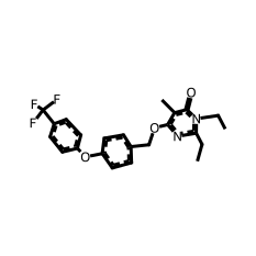 CCc1nc(OCc2ccc(Oc3ccc(C(F)(F)F)cc3)cc2)c(C)c(=O)n1CC